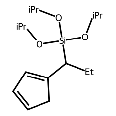 CCC(C1=CC=CC1)[Si](OC(C)C)(OC(C)C)OC(C)C